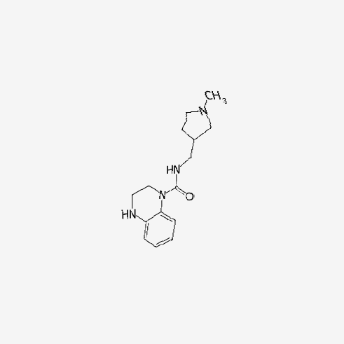 CN1CCC(CNC(=O)N2CCNc3ccccc32)C1